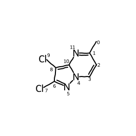 Cc1ccn2nc(Cl)c(Cl)c2n1